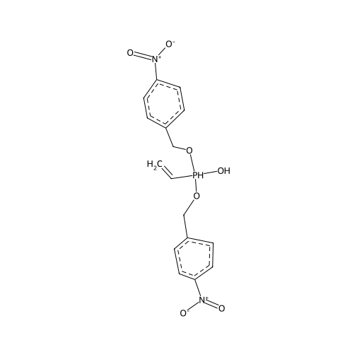 C=C[PH](O)(OCc1ccc([N+](=O)[O-])cc1)OCc1ccc([N+](=O)[O-])cc1